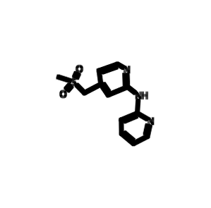 CS(=O)(=O)Cc1ccnc(Nc2ccccn2)c1